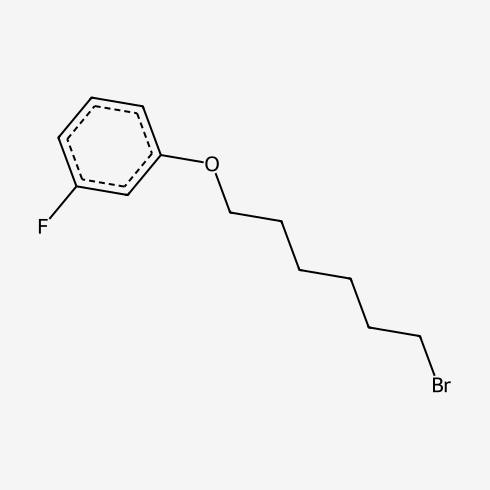 Fc1cccc(OCCCCCCBr)c1